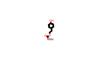 CNC(=O)OCCc1ccc(O)cc1